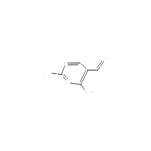 CNc1nc(SC)ncc1C=N